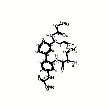 C=CC[C@H](NC(=O)OC(C)(C)C)c1cc(-c2ccc(NC(=O)OC)cc2NC(=O)C(C)C=C)ccn1